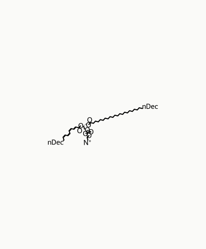 CCCCCCCCCCC\C=C/C=C\C=C/C=C/C(=O)O[C@H](COC(=O)CCCCCCCCCCCCCCCCCCCCCCCCCCCCCCC)COP(=O)([O-])OCC[N+](C)(C)C